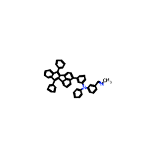 CN=Cc1cccc(N(c2ccccc2)c2cccc(-c3ccc4c5c(cccc35)-c3c-4c(-c4ccccc4)c4ccccc4c3-c3ccccc3)c2)c1